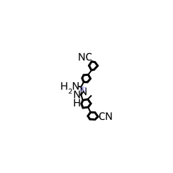 Cc1cc(-c2cccc(C#N)c2)ccc1C(=N)/N=C(\N)c1ccc(-c2cccc(C#N)c2)cc1